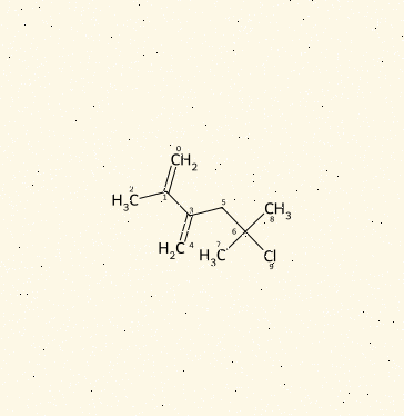 C=C(C)C(=C)CC(C)(C)Cl